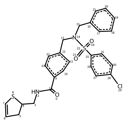 O=C(NCC1CC=CS1)c1ccc(CN(Cc2ccccc2)S(=O)(=O)c2ccc(Cl)cc2)cc1